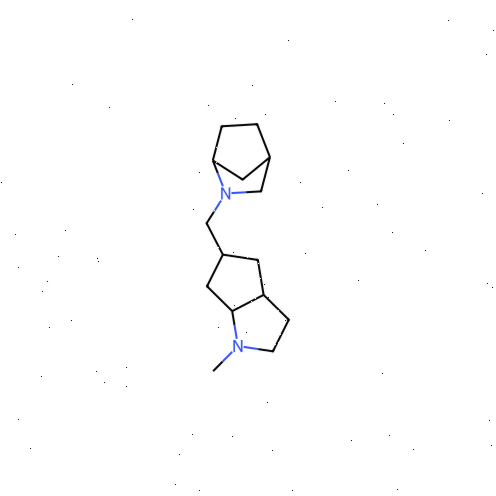 CN1CCC2CC(CN3CC4CCC3C4)CC21